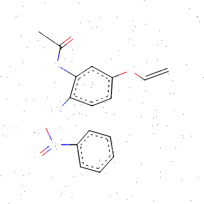 C=COc1ccc(N)c(NC(C)=O)c1.O=[N+]([O-])c1ccccc1